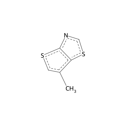 Cc1csc2ncsc12